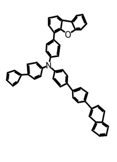 c1ccc(-c2ccc(N(c3ccc(-c4ccc(-c5ccc6ccccc6c5)cc4)cc3)c3ccc(-c4cccc5c4oc4ccccc45)cc3)cc2)cc1